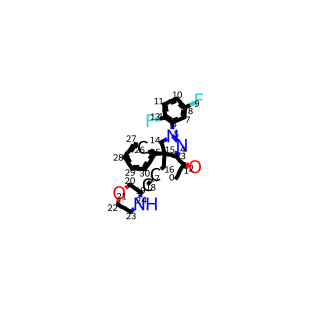 CC(=O)C1=NN(c2cc(F)ccc2F)CC1(CCCC1COCCN1)c1ccccc1